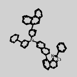 c1ccc(-c2cccc(N(c3ccc(-c4cc5ccccc5c5ccccc45)cc3)c3ccc4ccc(-c5cccc6ccc7oc(-c8ccccc8)nc7c56)cc4c3)c2)cc1